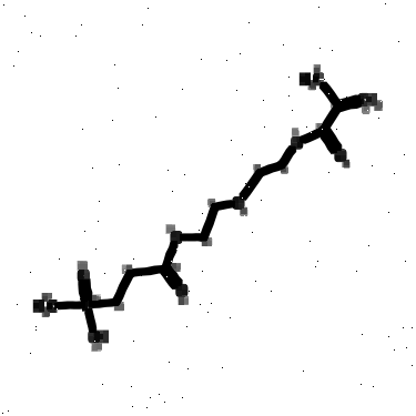 C=C(C)C(=O)OCCOCCOC(=O)CCP(C)(=O)O